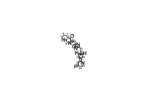 O=c1c2cccnc2cnn1Cc1nc(CC2[C@H]3CN(c4cc(F)ccn4)C[C@@H]23)no1